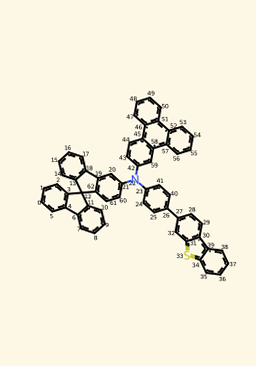 c1ccc2c(c1)-c1ccccc1C21c2ccccc2-c2cc(N(c3ccc(-c4ccc5c(c4)sc4ccccc45)cc3)c3ccc4c5ccccc5c5ccccc5c4c3)ccc21